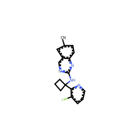 N#Cc1ccc2nc(NC3(c4ncccc4F)CCC3)ncc2c1